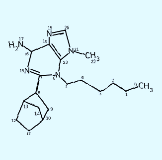 CCCCCCN1C(C2CC3CCC2C3)=NC(N)c2ncn(C)c21